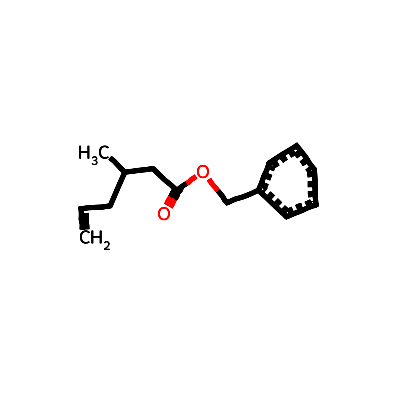 C=CCC(C)CC(=O)OCc1ccccc1